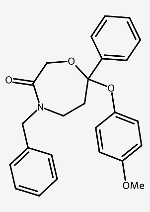 COc1ccc(OC2(c3ccccc3)CCN(Cc3ccccc3)C(=O)CO2)cc1